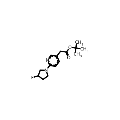 CC(C)(C)OC(=O)Cc1ccc(N2CCC(F)C2)nc1